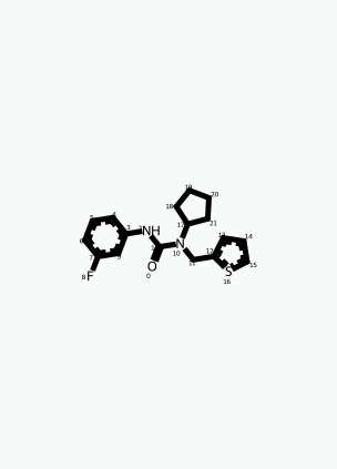 O=C(Nc1cccc(F)c1)N(Cc1cccs1)C1CCCC1